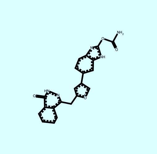 NC(=O)Oc1nc2ccc(-c3coc(Cc4n[nH]c(=O)c5ccccc45)c3)cc2[nH]1